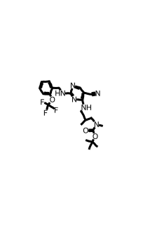 CC(CNc1nc(NCc2ccccc2OC(F)(F)F)ncc1C#N)CN(C)C(=O)OC(C)(C)C